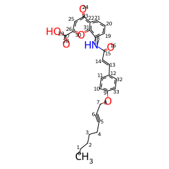 CCCCCC#CCOc1ccc(C=CC(=O)Nc2cccc3c(=O)cc(C(=O)O)oc23)cc1